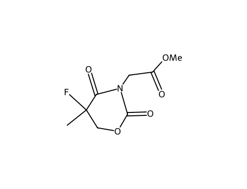 COC(=O)CN1C(=O)OCC(C)(F)C1=O